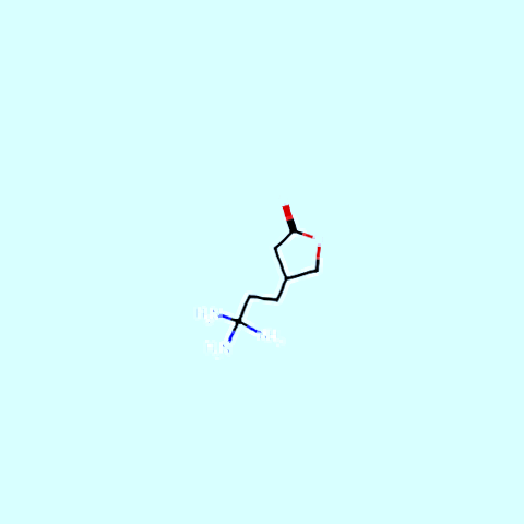 NC(N)(N)CCC1COC(=O)C1